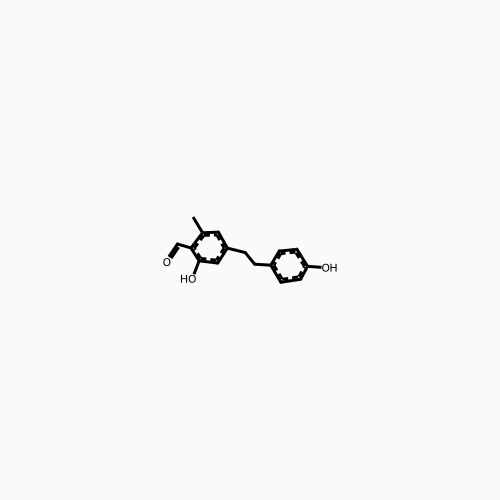 Cc1cc(CCc2ccc(O)cc2)cc(O)c1C=O